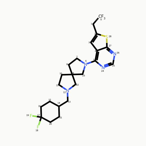 FC(F)(F)Cc1cc2c(N3CCC4(CCN(CC5CCC(F)(F)CC5)C4)C3)ncnc2s1